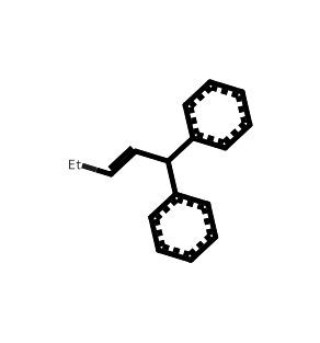 CCC=CC(c1ccccc1)c1ccccc1